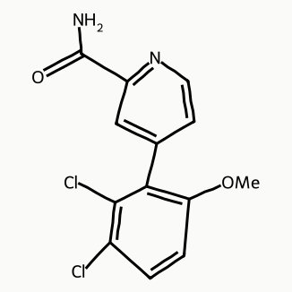 COc1ccc(Cl)c(Cl)c1-c1ccnc(C(N)=O)c1